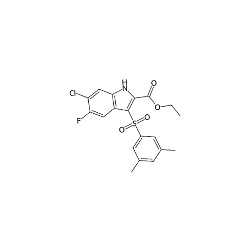 CCOC(=O)c1[nH]c2cc(Cl)c(F)cc2c1S(=O)(=O)c1cc(C)cc(C)c1